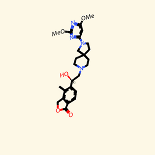 COc1cc(N2CCC3(CCN(C[C@H](O)c4ccc5c(c4C)COC5=O)CC3)C2)nc(OC)n1